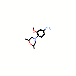 COc1cc(N)ccc1N1CC(C)OC(C)C1